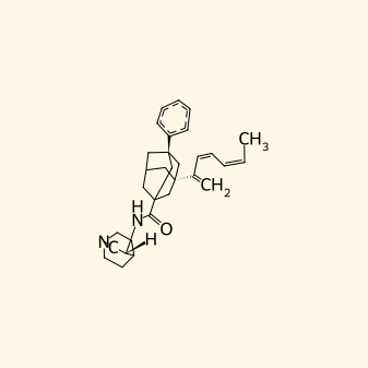 C=C(/C=C\C=C/C)[C@@]12CC3CC(C(=O)N[C@H]4CN5CCC4CC5)(C1)C[C@](c1ccccc1)(C3)C2